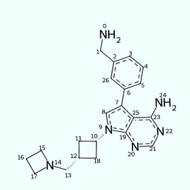 NCc1cccc(-c2cn([C@H]3C[C@@H](CN4CCC4)C3)c3ncnc(N)c23)c1